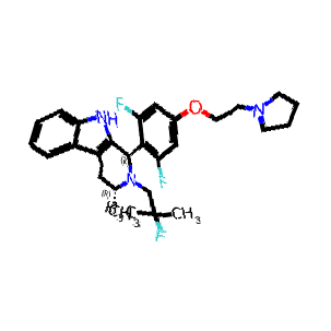 C[C@@H]1Cc2c([nH]c3ccccc23)[C@@H](c2c(F)cc(OCCN3CCCC3)cc2F)N1CC(C)(C)F